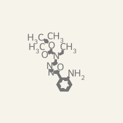 CCN(C(=O)OC(C)(C)C)c1nnc(-c2ccccc2N)o1